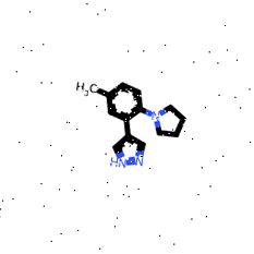 Cc1ccc(N2CCCC2)c(-c2cn[nH]c2)c1